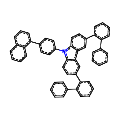 c1ccc(-c2ccccc2-c2ccc3c(c2)c2cc(-c4ccccc4-c4ccccc4)ccc2n3-c2ccc(-c3cccc4ccccc34)cc2)cc1